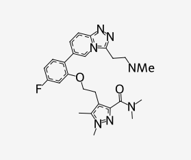 CNCCc1nnc2ccc(-c3ccc(F)cc3OCCc3c(C(=O)N(C)C)nn(C)c3C)cn12